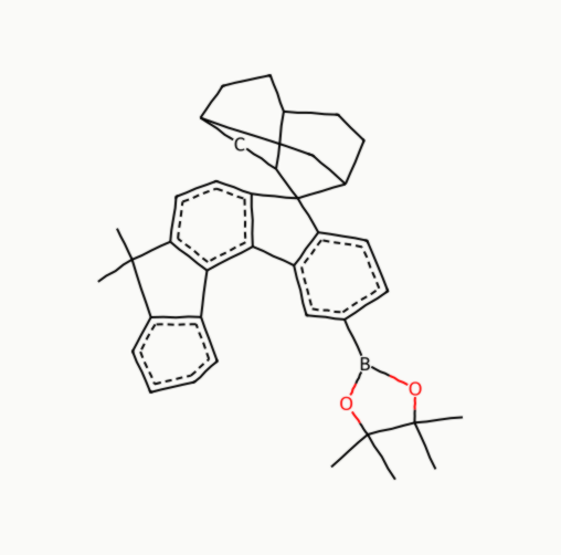 CC1(C)c2ccccc2-c2c1ccc1c2-c2cc(B3OC(C)(C)C(C)(C)O3)ccc2C12C1CCC3CCC(C1)CC32